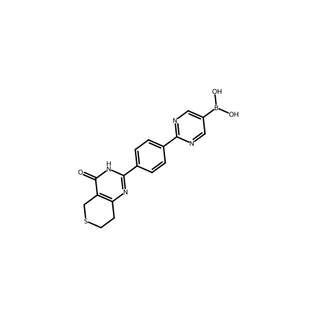 O=c1[nH]c(-c2ccc(-c3ncc(B(O)O)cn3)cc2)nc2c1CSCC2